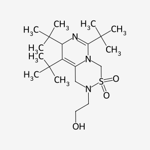 CC(C)(C)C1=NC(C(C)(C)C)C(C(C)(C)C)=C2CN(CCO)S(=O)(=O)CN12